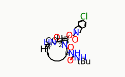 CC(C)(C)NC(=O)N[C@H]1CCCCCC=C[C@@H]2C[C@@]2(C(=O)O)NC(=O)[C@@H]2C[C@@H](OC(=O)N3Cc4ccc(Cl)cc4C3)CN2C1=O